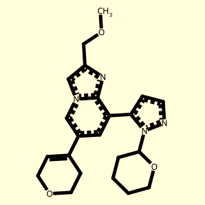 COCc1cn2cc(C3=CCOCC3)cc(-c3ccnn3C3CCCCO3)c2n1